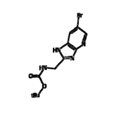 CC(C)(C)OC(=O)NCc1nc2ncc(Br)cc2[nH]1